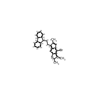 CC1=Cc2c(Br)c3c(cc2=C1CCC1c2ccccc2-c2ccccc21)SC(C)C=3C